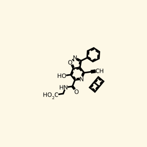 C#Cc1nc(C(=O)NCC(=O)O)c(O)c2onc(-c3ccccc3)c12.c1cc2ccc1-2